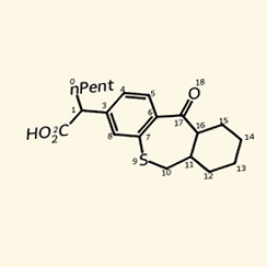 CCCCCC(C(=O)O)c1ccc2c(c1)SCC1CCCCC1C2=O